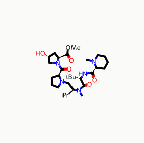 COC(=O)[C@@H]1C[C@@H](O)CN1C(=O)[C@@H]1CCCN1C[C@H](C(C)C)N(C)C(=O)[C@@H](NC(=O)[C@H]1CCCCN1C)C(C)(C)C